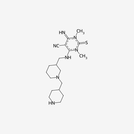 Cn1c(NCC2CCCN(CC3CCNCC3)C2)c(C#N)c(=N)n(C)c1=S